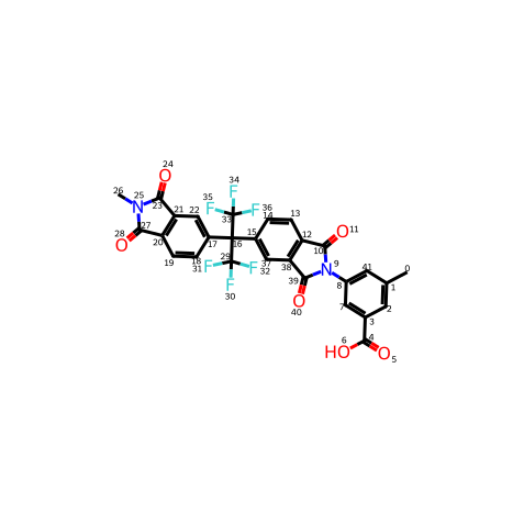 Cc1cc(C(=O)O)cc(N2C(=O)c3ccc(C(c4ccc5c(c4)C(=O)N(C)C5=O)(C(F)(F)F)C(F)(F)F)cc3C2=O)c1